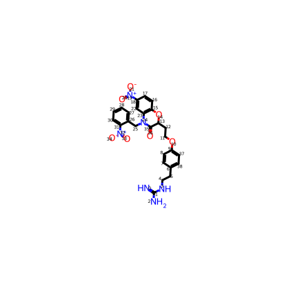 N=C(N)NCCc1ccc(OCCC2Oc3ccc([N+](=O)[O-])cc3N(Cc3ccccc3[N+](=O)[O-])C2=O)cc1